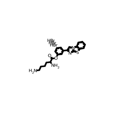 Br.Br.Br.NCCCCC(N)C(=O)Oc1cccc(-c2cn3c(n2)sc2ccccc23)c1